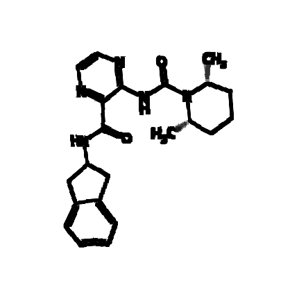 C[C@@H]1CCC[C@H](C)N1C(=O)Nc1nccnc1C(=O)NC1Cc2ccccc2C1